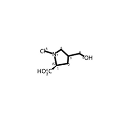 O=C(O)[C@@H]1CC(CO)CN1Cl